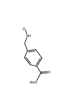 COC(=O)c1ccc(CNCl)cc1